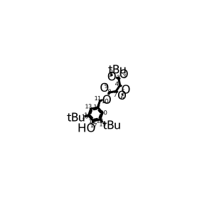 CC(C)(C)OC(=O)C1OOC1C(=O)OCc1cc(C(C)(C)C)c(O)c(C(C)(C)C)c1